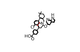 CC1(C)CCC(CN2CC=C(c3ccc(C(=O)O)cc3)CC2Oc2cnc3[nH]ccc3c2)=C(c2ccc(Cl)cc2)C1